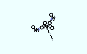 CCCCCCCCCC(n1c2ccccc2c2cc(/C=N/N(C)c3ccccc3)ccc21)n1c2ccccc2c2cc(/C=N/N(C)c3ccccc3)ccc21